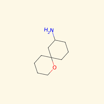 NC1CCCC2(CCCCO2)C1